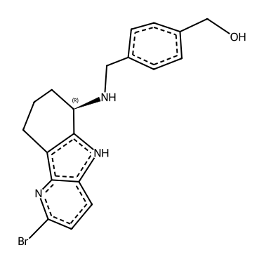 OCc1ccc(CN[C@@H]2CCCc3c2[nH]c2ccc(Br)nc32)cc1